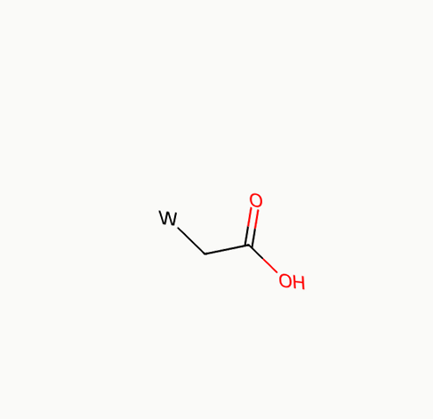 O=C(O)[CH2][W]